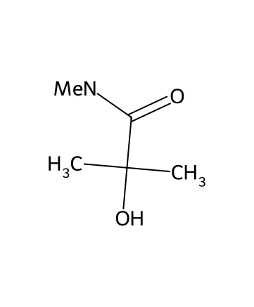 CNC(=O)C(C)(C)O